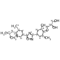 Cc1cc(-c2nc(-c3cc(C)c(OC[C@H](O)CO)c(C)c3)no2)cnc1CC(C)C